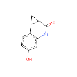 O=C1Nc2cc(O)ccc2C2CC12